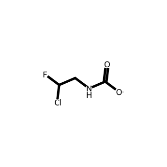 [O]C(=O)NCC(F)Cl